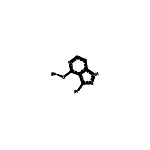 CC[C@H](C)Oc1nccc2[nH]nc(C(C)C)c12